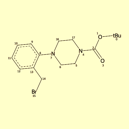 CC(C)(C)OC(=O)N1CCN(c2ccccc2CBr)CC1